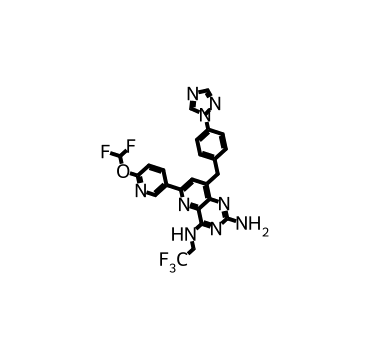 Nc1nc(NCC(F)(F)F)c2nc(-c3ccc(OC(F)F)nc3)cc(Cc3ccc(-n4cncn4)cc3)c2n1